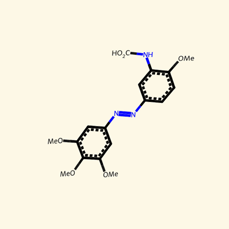 COc1ccc(N=Nc2cc(OC)c(OC)c(OC)c2)cc1NC(=O)O